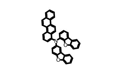 c1ccc2c(c1)ccc1c3cccc(N(c4ccc5oc6ccccc6c5c4)c4cccc5c4oc4ccccc45)c3ccc21